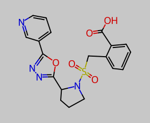 O=C(O)c1ccccc1CS(=O)(=O)N1CCCC1c1nnc(-c2cccnc2)o1